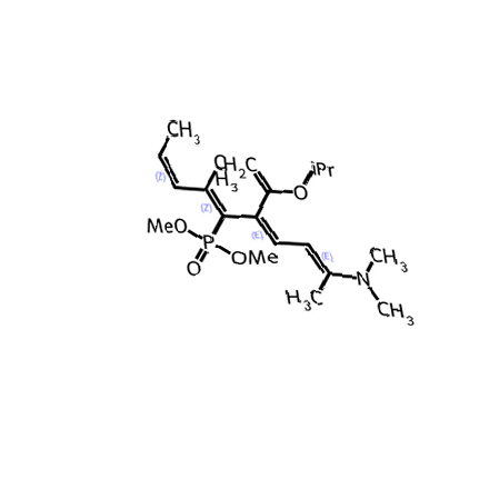 C=C(OC(C)C)C(=C\C=C(/C)N(C)C)/C(=C(C)/C=C\C)P(=O)(OC)OC